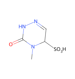 CN1C(=O)NN=CC1S(=O)(=O)O